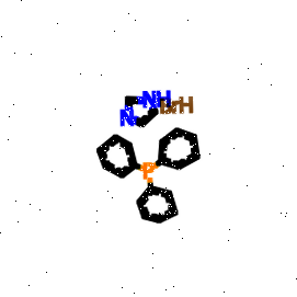 Br.c1c[nH]cn1.c1ccc(P(c2ccccc2)c2ccccc2)cc1